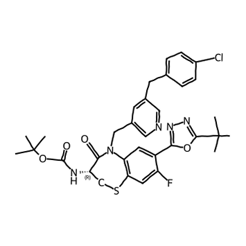 CC(C)(C)OC(=O)N[C@H]1CSc2cc(F)c(-c3nnc(C(C)(C)C)o3)cc2N(Cc2cncc(Cc3ccc(Cl)cc3)c2)C1=O